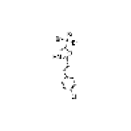 Clc1ccc(C=CN2NC=C(C(Br)(Br)Br)O2)cc1